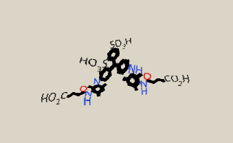 Cc1cc(C)c(NC(=O)CCCC(=O)O)c(C)c1N=C1C=CC(=C(c2ccc(Nc3c(C)cc(C)c(NC(=O)CCCC(=O)O)c3C)cc2)c2ccc(S(=O)(=O)O)cc2S(=O)(=O)O)C=C1